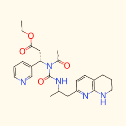 CCOC(=O)C[C@@H](c1cccnc1)N(C(C)=O)C(=O)NC(C)Cc1ccc2c(n1)NCCC2